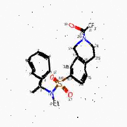 CCN(C(C)c1ccccc1)S(=O)(=O)c1ccc2c(c1)CN(C(=O)C(F)(F)F)CC2